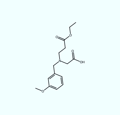 CCOC(=O)CCN(CC(=O)O)Cc1cccc(OC)c1